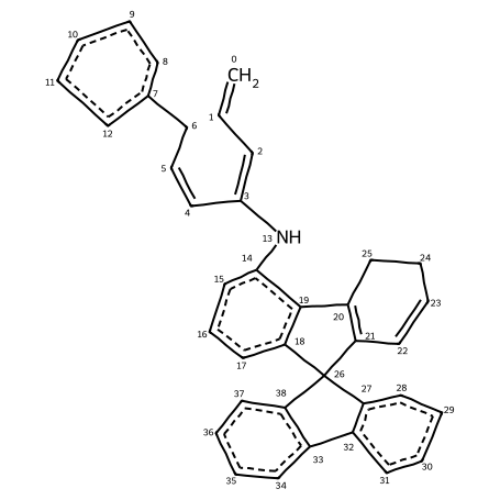 C=C/C=C(\C=C/Cc1ccccc1)Nc1cccc2c1C1=C(C=CCC1)C21c2ccccc2-c2ccccc21